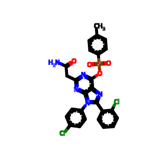 Cc1ccc(S(=O)(=O)Oc2nc(CC(N)=O)nc3c2nc(-c2ccccc2Cl)n3-c2ccc(Cl)cc2)cc1